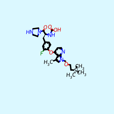 Cc1cn(COCC[Si](C)(C)C)c2nccc(Oc3ccc(C[C@H](NC(=O)O)C(=O)N4CCNCC4)cc3F)c12